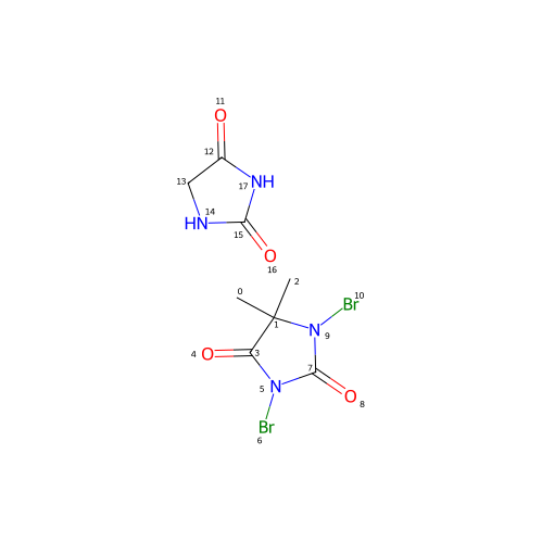 CC1(C)C(=O)N(Br)C(=O)N1Br.O=C1CNC(=O)N1